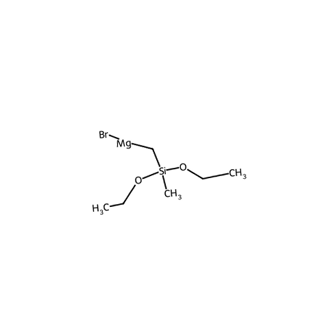 CCO[Si](C)([CH2][Mg][Br])OCC